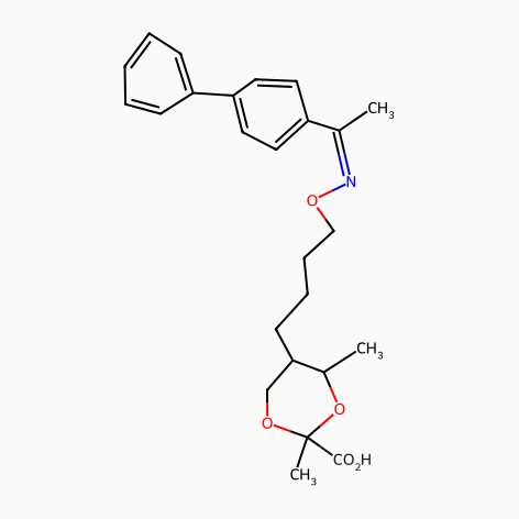 CC(=NOCCCCC1COC(C)(C(=O)O)OC1C)c1ccc(-c2ccccc2)cc1